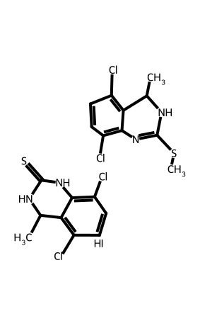 CC1NC(=S)Nc2c(Cl)ccc(Cl)c21.CSC1=Nc2c(Cl)ccc(Cl)c2C(C)N1.I